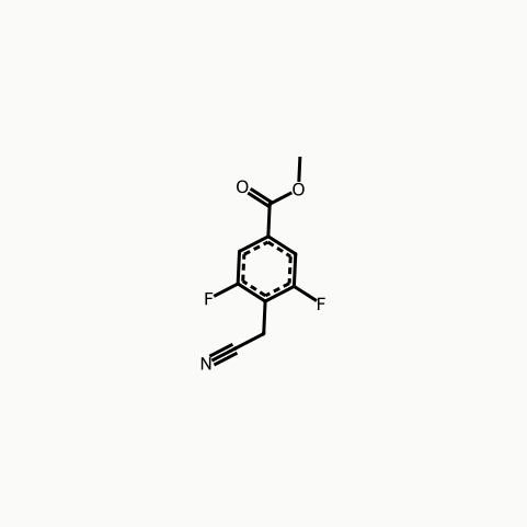 COC(=O)c1cc(F)c(CC#N)c(F)c1